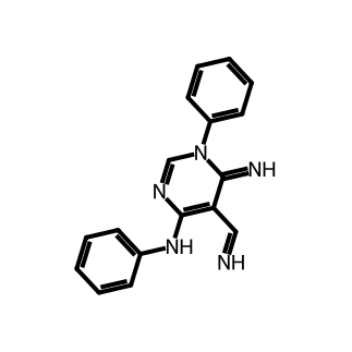 N=Cc1c(Nc2ccccc2)ncn(-c2ccccc2)c1=N